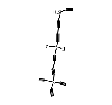 C#C[SiH2]C#CC#C[Si](Cl)(Cl)C#CC#C[Si](C#C)(C#C)C#C